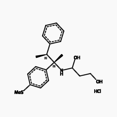 CSc1ccc([C@@](C)(NC(O)CCO)[C@@H](C)c2ccccc2)cc1.Cl